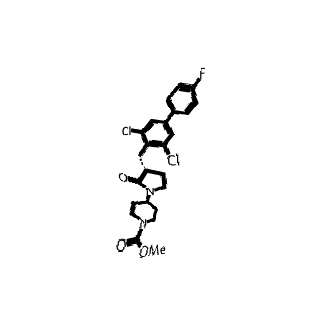 COC(=O)N1CCC(N2CC[C@@H](Cc3c(Cl)cc(-c4ccc(F)cc4)cc3Cl)C2=O)CC1